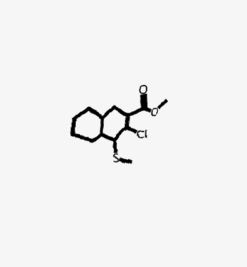 COC(=O)C1CC2CCCCC2C(SC)C1Cl